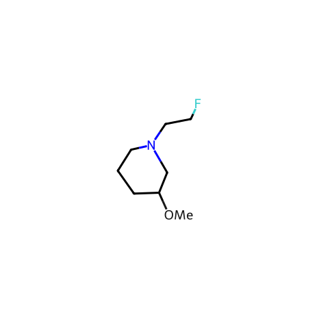 COC1CCCN(CCF)C1